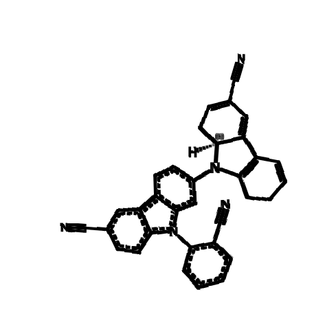 N#CC1=CC[C@H]2C(=C1)C1=C(CCC=C1)N2c1ccc2c3cc(C#N)ccc3n(-c3ccccc3C#N)c2c1